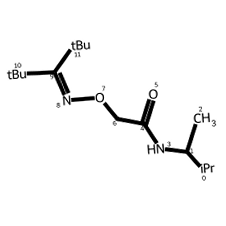 CC(C)C(C)NC(=O)CON=C(C(C)(C)C)C(C)(C)C